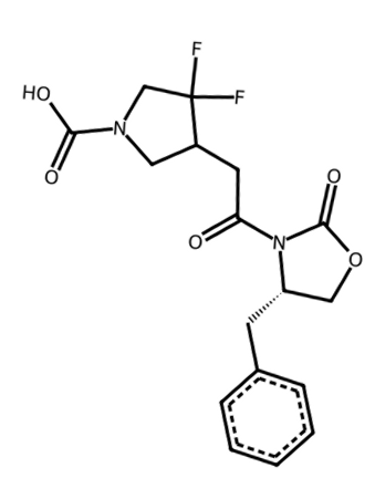 O=C(O)N1CC(CC(=O)N2C(=O)OC[C@@H]2Cc2ccccc2)C(F)(F)C1